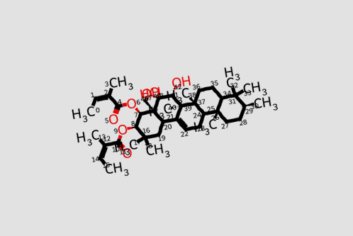 C/C=C(/C)C(=O)O[C@@H]1[C@H](OC(=O)/C(C)=C\C)C(C)(C)CC2C3=CCC4[C@@]5(C)CC[C@H](C)C(C)(C)C5CC[C@@]4(C)[C@]3(C)[C@@H](O)[C@@H](O)[C@]21CO